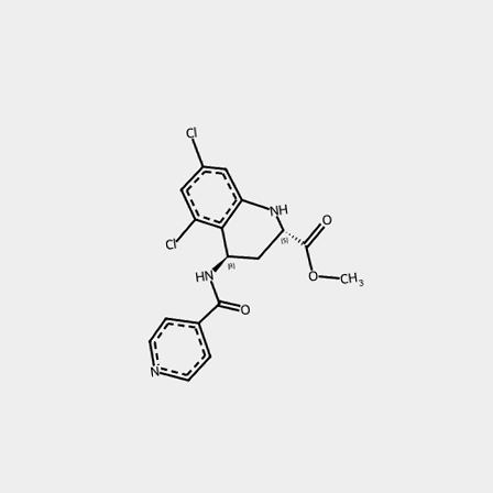 COC(=O)[C@@H]1C[C@@H](NC(=O)c2ccncc2)c2c(Cl)cc(Cl)cc2N1